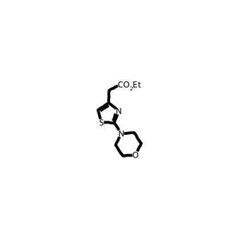 CCOC(=O)Cc1csc(N2CCOCC2)n1